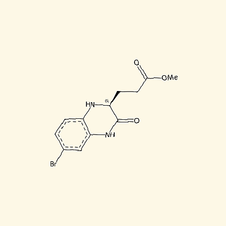 COC(=O)CC[C@@H]1Nc2ccc(Br)cc2NC1=O